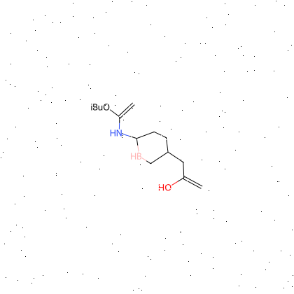 C=C(O)CC1CBC(NC(=C)OCC(C)C)CC1